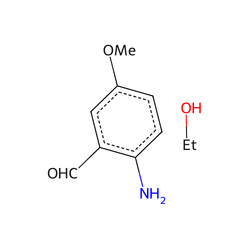 CCO.COc1ccc(N)c(C=O)c1